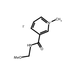 COCNC(=O)c1ccc[n+](C)c1.[I-]